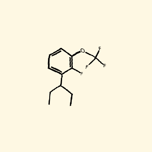 CCC(CC)c1cccc(OC(F)(F)F)c1F